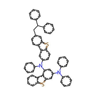 c1ccc(C(Cc2ccc3c(c2)sc2ccc(N(c4ccccc4)c4cc(N(c5ccccc5)c5ccccc5)cc5sc6ccccc6c45)cc23)c2ccccc2)cc1